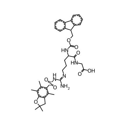 Cc1c(C)c(S(=O)(=O)NC(N)=NCCCC(NC(=O)OCC2c3ccccc3-c3ccccc32)C(=O)NCC(=O)O)c(C)c2c1OC(C)(C)C2